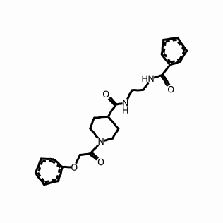 O=C(NCCNC(=O)C1CCN(C(=O)COc2ccccc2)CC1)c1ccccc1